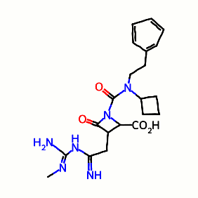 CN=C(N)NC(=N)CC1C(=O)N(C(=O)N(CCc2ccccc2)C2CCC2)C1C(=O)O